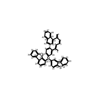 C=C(/C=C\C=C(/C)c1cccc(N(c2ccc3sc4ccccc4c3c2)c2cccc3c2oc2ccccc23)c1)c1cccc2ccccc12